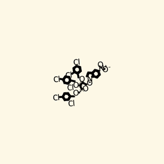 O=[N+]([O-])c1ccc2c(ccn2OC2O[C@H](COCc3ccc(Cl)cc3Cl)[C@@H](OCc3ccc(Cl)cc3Cl)[C@H]2OCc2ccc(Cl)cc2Cl)c1